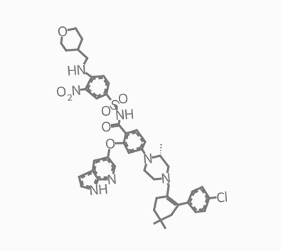 C[C@@H]1CN(CC2=C(c3ccc(Cl)cc3)CC(C)(C)CC2)CCN1c1ccc(C(=O)NS(=O)(=O)c2ccc(NCC3CCOCC3)c([N+](=O)[O-])c2)c(Oc2cnc3[nH]ccc3c2)c1